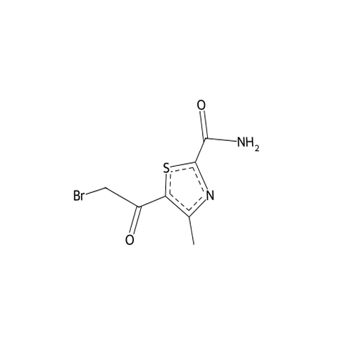 Cc1nc(C(N)=O)sc1C(=O)CBr